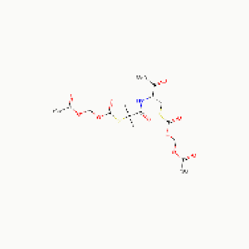 COC(=O)[C@H](CSC(=O)OCOC(=O)C(C)(C)C)NC(=O)C(C)(C)SC(=O)OCOC(=O)C(C)(C)C